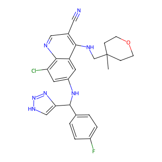 CC1(CNc2c(C#N)cnc3c(Cl)cc(NC(c4ccc(F)cc4)c4c[nH]nn4)cc23)CCOCC1